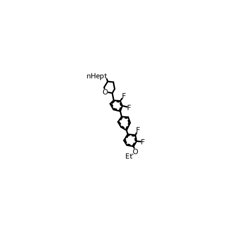 CCCCCCCC1CCC(c2ccc(-c3ccc(-c4ccc(OCC)c(F)c4F)cc3)c(F)c2F)OC1